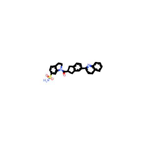 NS(=O)(=O)c1ccc2c(c1)N(C(=O)C1Cc3ccc(-c4ccc5ccccc5n4)cc3C1)CC2